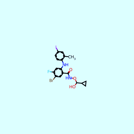 Cc1cc(I)ccc1Nc1cc(F)c(Br)cc1C(=O)NOC(O)C1CC1